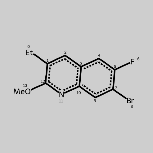 CCc1cc2cc(F)c(Br)cc2nc1OC